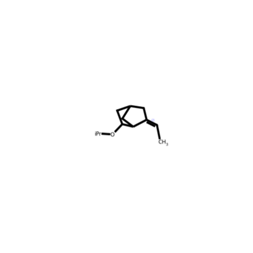 C/C=C1/CC2CC(OC(C)C)C1C2